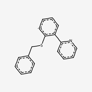 [c]1cccc(-c2ccccn2)c1SCc1ccccc1